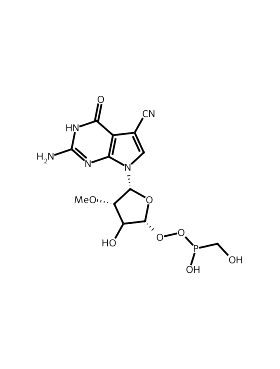 CO[C@H]1C(O)[C@@H](OOP(O)CO)O[C@H]1n1cc(C#N)c2c(=O)[nH]c(N)nc21